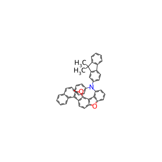 CC1(C)c2ccccc2-c2ccc(N(c3ccccc3)c3cccc4oc5ccc6c(oc7ccc8ccccc8c76)c5c34)cc21